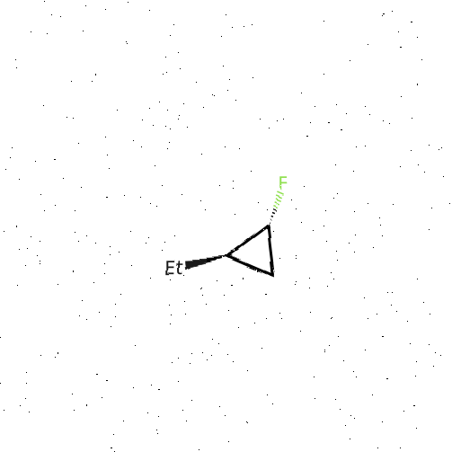 CC[C@@H]1C[C@H]1F